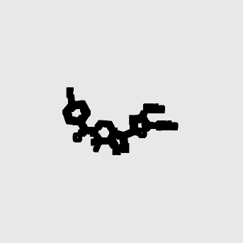 CSc1nc(-c2nnc3n2CCN(C(=O)c2ccc(F)cc2)[C@@H]3C)oc1SC